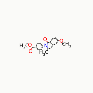 COC(=O)c1ccc(-n2c(C)cc3cc(OC)ccc3c2=O)cc1